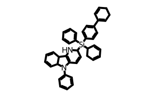 C1=CCC([Si](c2ccccc2)(c2ccc(C3=CCCC=C3)cc2)C2C=CC3=C(N2)C2C=CC=CC2N3c2ccccc2)C=C1